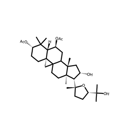 CC(=O)O[C@H]1CC2C3(CC[C@]4(C)[C@@H]([C@@]5(C)CC[C@@H](C(C)(C)O)O5)[C@@H](O)C[C@@]24C)C[C@@]32CC[C@H](OC(C)=O)C(C)(C)[C@H]12